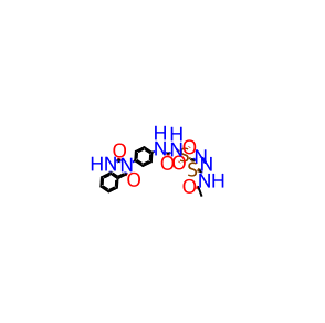 CC(=O)Nc1nnc(S(=O)(=O)NC(=O)Nc2ccc(-n3c(=O)[nH]c4ccccc4c3=O)cc2)s1